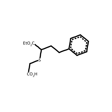 CCOC(=O)C(CCc1ccccc1)SCC(=O)O